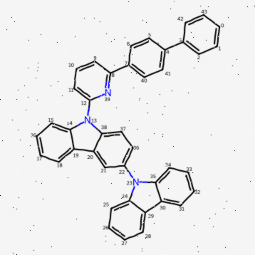 c1ccc(-c2ccc(-c3cccc(-n4c5ccccc5c5cc(-n6c7ccccc7c7ccccc76)ccc54)n3)cc2)cc1